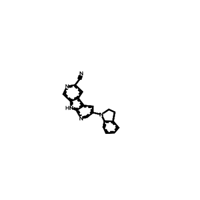 N#Cc1cc2c(cn1)[nH]c1ncc(N3CCc4ccccc43)cc12